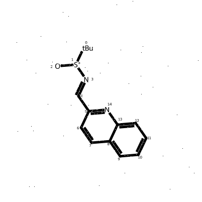 CC(C)(C)[S+]([O-])N=Cc1ccc2ccccc2n1